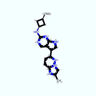 CO[C@H]1C[C@@H](Nc2ncc3c(-c4ccc5nc(C)cn5n4)c[nH]c3n2)C1